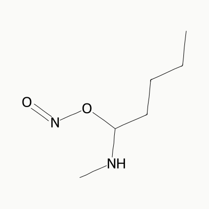 CCCCC(NC)ON=O